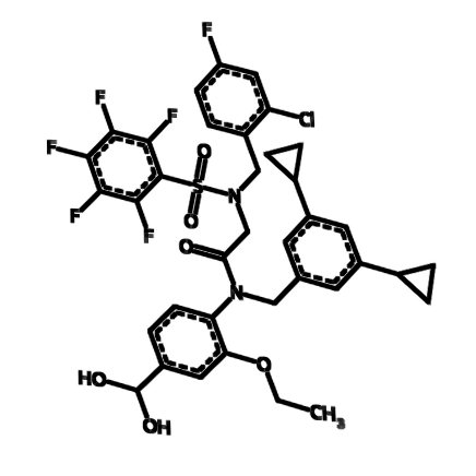 CCOc1cc(C(O)O)ccc1N(Cc1cc(C2CC2)cc(C2CC2)c1)C(=O)CN(Cc1ccc(F)cc1Cl)S(=O)(=O)c1c(F)c(F)c(F)c(F)c1F